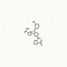 O=C(O)c1ccc(-c2cc(Nc3ccccc3[N+](=O)[O-])ccc2Oc2cccc(Br)c2)[nH]1